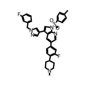 Cc1ccc(S(=O)(=O)n2cc(-c3cnn(Cc4cccc(F)c4)c3)c3cc(-c4ccc(C5CCN(C)CC5)c(F)c4)cnc32)cc1